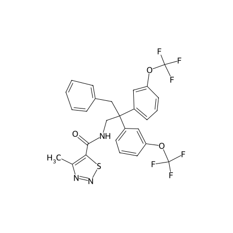 Cc1nnsc1C(=O)NCC(Cc1ccccc1)(c1cccc(OC(F)(F)F)c1)c1cccc(OC(F)(F)F)c1